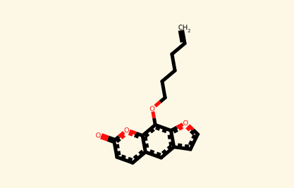 C=CCCCCOc1c2occc2cc2ccc(=O)oc12